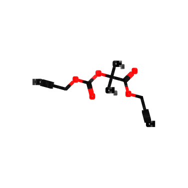 C#CCOC(=O)OC(C)(C)C(=O)OCC#C